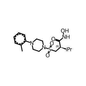 Cc1ccccc1N1CCN(S(=O)(=O)C[C@@H](C(=O)NO)C(C)C)CC1